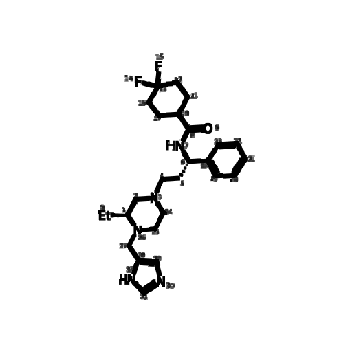 CC[C@H]1CN(CC[C@H](NC(=O)C2CCC(F)(F)CC2)c2ccccc2)CCN1Cc1cnc[nH]1